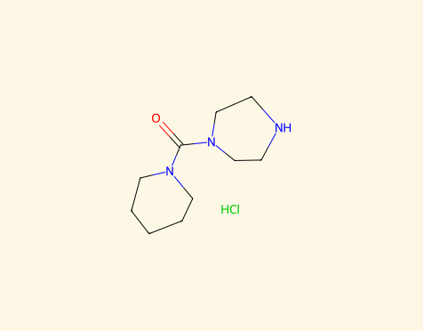 Cl.O=C(N1CCCCC1)N1CCNCC1